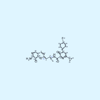 C=N/C(=C\C=C(/C)NC(=O)c1nn(C2CC2)cc(-c2ccc(F)cc2)c1=O)Oc1ccnc(N)c1Cl